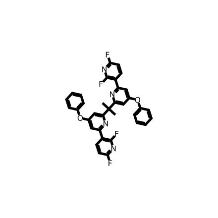 CC(C)(c1cc(Oc2ccccc2)cc(-c2ccc(F)nc2F)n1)c1cc(Oc2ccccc2)cc(-c2ccc(F)nc2F)n1